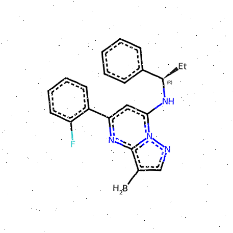 Bc1cnn2c(N[C@H](CC)c3ccccc3)cc(-c3ccccc3F)nc12